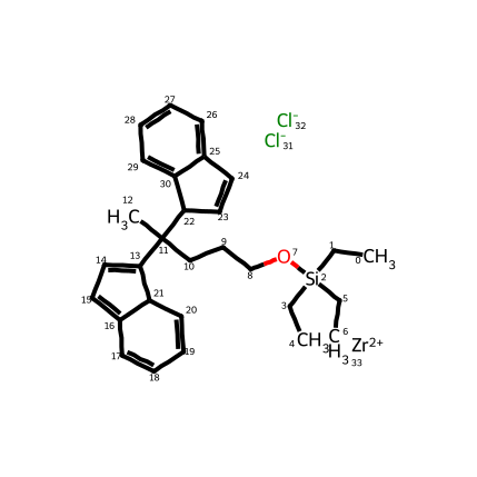 CC[Si](CC)(CC)OCCCC(C)(C1=CC=C2C=CC=CC21)C1C=Cc2ccccc21.[Cl-].[Cl-].[Zr+2]